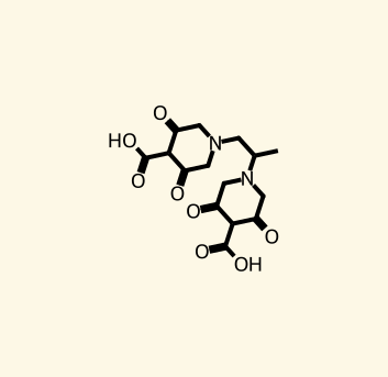 CC(CN1CC(=O)C(C(=O)O)C(=O)C1)N1CC(=O)C(C(=O)O)C(=O)C1